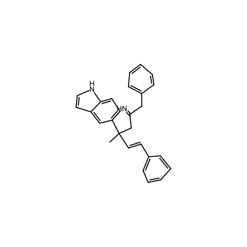 CC(C=Cc1ccccc1)(CC(=N)Cc1ccccc1)c1ccc2[nH]ccc2c1